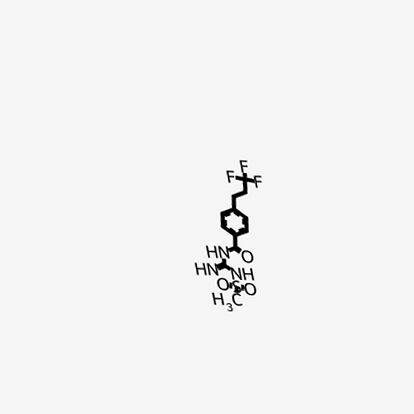 CS(=O)(=O)NC(=N)NC(=O)c1ccc(CCC(F)(F)F)cc1